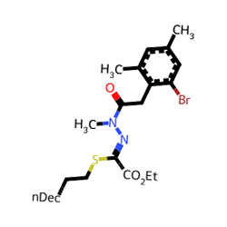 CCCCCCCCCCCCSC(=NN(C)C(=O)Cc1c(C)cc(C)cc1Br)C(=O)OCC